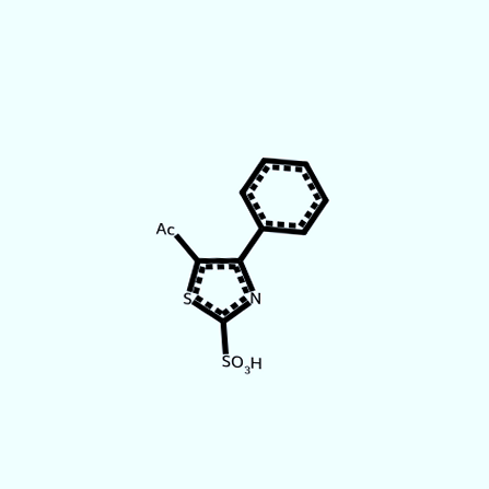 CC(=O)c1sc(S(=O)(=O)O)nc1-c1ccccc1